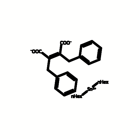 CCCCC[CH2][Sn+2][CH2]CCCCC.O=C([O-])C(Cc1ccccc1)=C(Cc1ccccc1)C(=O)[O-]